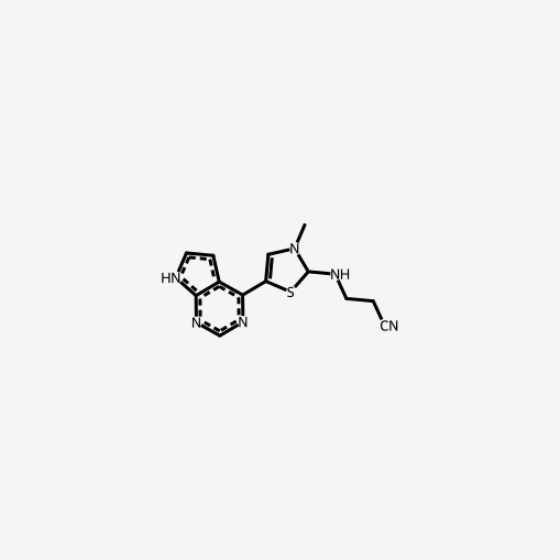 CN1C=C(c2ncnc3[nH]ccc23)SC1NCCC#N